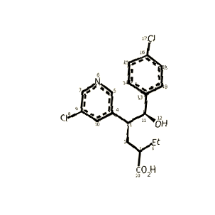 CCC(C[C@@H](c1cncc(Cl)c1)[C@H](O)c1ccc(Cl)cc1)C(=O)O